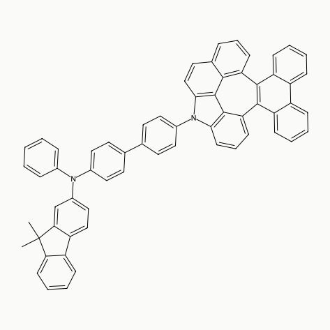 CC1(C)c2ccccc2-c2ccc(N(c3ccccc3)c3ccc(-c4ccc(-n5c6cccc7c6c6c8c(cccc8ccc65)-c5c-7c6ccccc6c6ccccc56)cc4)cc3)cc21